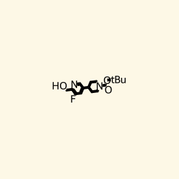 CC(C)(C)OC(=O)N1CCC(c2cnc(CO)c(F)c2)CC1